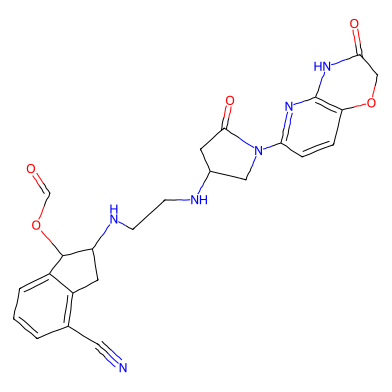 N#Cc1cccc2c1CC(NCCNC1CC(=O)N(c3ccc4c(n3)NC(=O)CO4)C1)C2OC=O